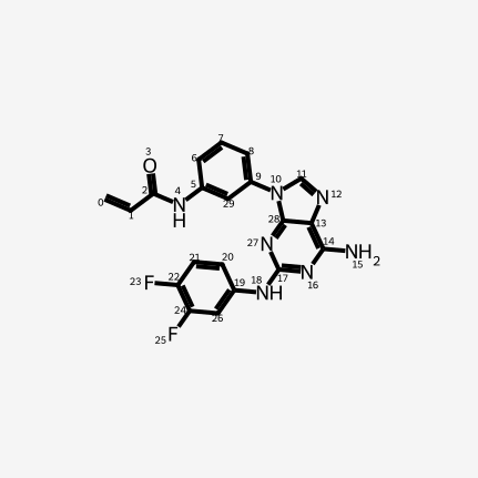 C=CC(=O)Nc1cccc(-n2cnc3c(N)nc(Nc4ccc(F)c(F)c4)nc32)c1